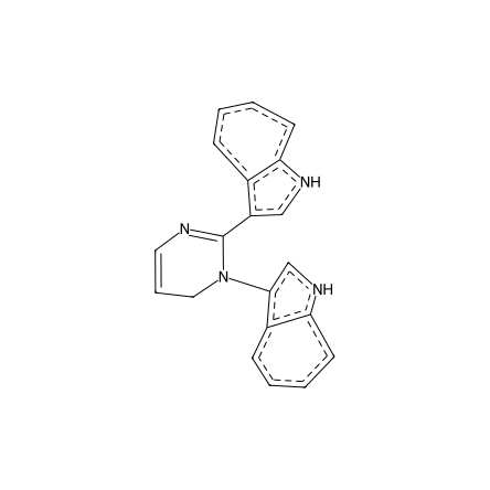 C1=CN=C(c2c[nH]c3ccccc23)N(c2c[nH]c3ccccc23)C1